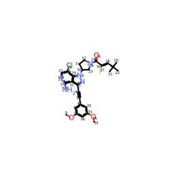 COc1cc(C#Cc2nn(C3CCN(C(=O)C(F)=CC(C)(C)C)C3)c3c(Cl)cnc(N)c23)cc(OC)c1